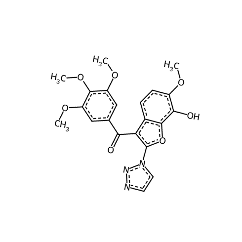 COc1cc(C(=O)c2c(-n3ccnn3)oc3c(O)c(OC)ccc23)cc(OC)c1OC